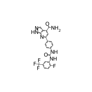 NC(=O)c1cc(-c2ccc(NC(=O)Nc3cc(C(F)(F)F)ccc3F)cc2)nc2[nH]ncc12